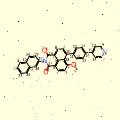 COc1ccc2c3c(ccc(-c4ccc(-c5ccncc5)cc4)c13)C(=O)N(c1ccc3ccccc3c1)C2=O